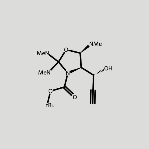 C#C[C@@H](O)[C@@H]1[C@H](NC)OC(NC)(NC)N1C(=O)OC(C)(C)C